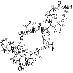 CCn1c(-c2cc(N3CCN4CCOC[C@@H]4C3)cnc2[C@H](C)OC)c2c3cc(ccc31)-c1cc(CF)cc(c1)C[C@H](NC(=O)C(C1CCCC1)N1CC[C@]3(CCN(C(=O)[C@@H]4NC4C4CC4)C3)C1)C(=O)N1CCC[C@H](N1)C(=O)OCC(C)(C)C2